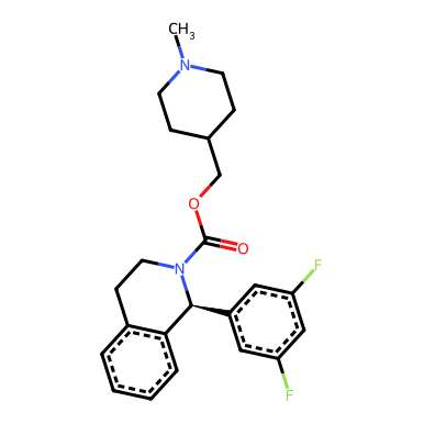 CN1CCC(COC(=O)N2CCc3ccccc3[C@@H]2c2cc(F)cc(F)c2)CC1